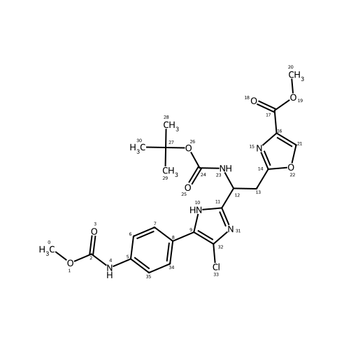 COC(=O)Nc1ccc(-c2[nH]c(C(Cc3nc(C(=O)OC)co3)NC(=O)OC(C)(C)C)nc2Cl)cc1